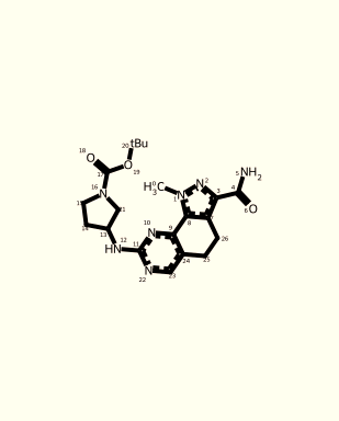 Cn1nc(C(N)=O)c2c1-c1nc(NC3CCN(C(=O)OC(C)(C)C)C3)ncc1CC2